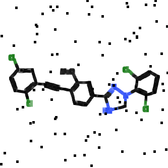 COc1cc(C2=NN(c3c(Cl)cccc3Cl)CN2)ccc1C#Cc1cc(Cl)ccc1Cl